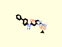 O=S(=O)(Nc1nccc(CC(O)Nc2ccc(-c3ccccc3)cc2)n1)C1CC1